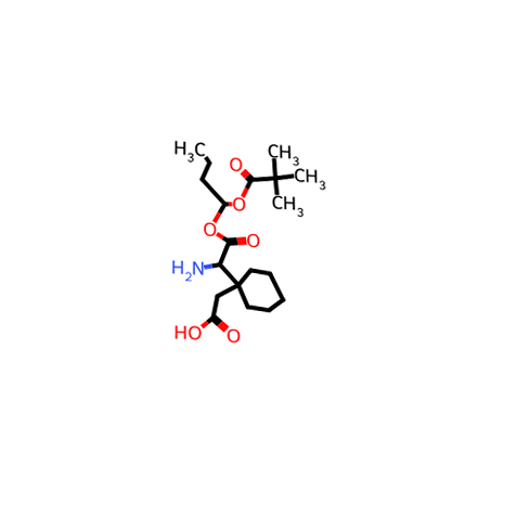 CCCC(OC(=O)C(N)C1(CC(=O)O)CCCCC1)OC(=O)C(C)(C)C